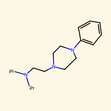 CC(C)N(CCN1CCN(c2ccccc2)CC1)C(C)C